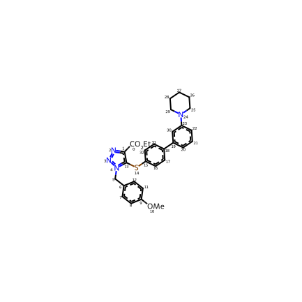 CCOC(=O)c1nnn(Cc2ccc(OC)cc2)c1Sc1ccc(-c2cccc(N3CCCCC3)c2)cc1